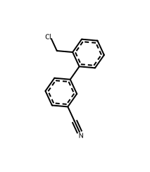 N#Cc1cccc(-c2ccccc2CCl)c1